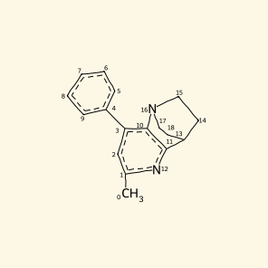 Cc1cc(-c2ccccc2)c2c(n1)C1CCN2CC1